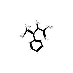 C=C(C(=O)O)C(C)C(=C(C)C(=O)O)c1ccccc1